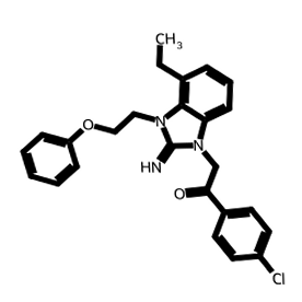 CCc1cccc2c1n(CCOc1ccccc1)c(=N)n2CC(=O)c1ccc(Cl)cc1